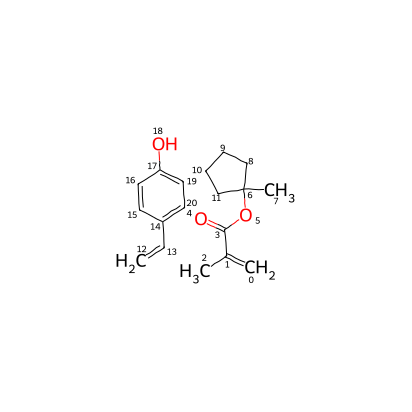 C=C(C)C(=O)OC1(C)CCCC1.C=Cc1ccc(O)cc1